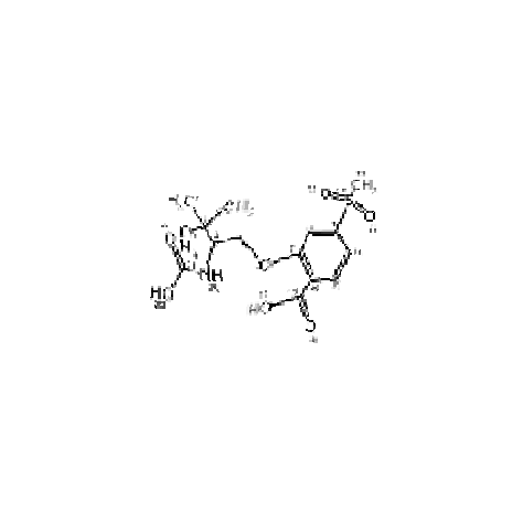 CC(C)(C)C(COc1cc(S(C)(=O)=O)ccc1C(=O)O)NC(=O)O